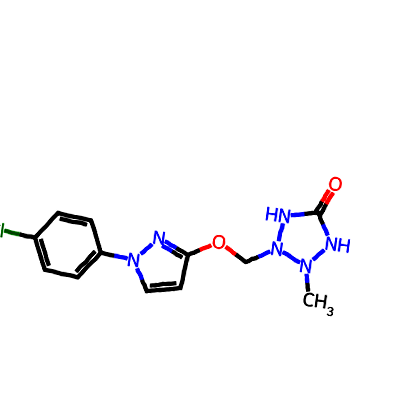 CN1NC(=O)NN1COc1ccn(-c2ccc(Cl)cc2)n1